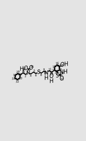 CC(CN(CCCSCCNC[C@@H](O)c1ccc(O)c2[nH]c(=O)sc12)C(=O)O)c1ccccc1